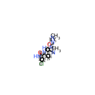 CN1CCN(CC(=O)N(C)c2ccc(N/C(=C3\C(=O)Nc4cc(Cl)ccc43)c3ccccc3)cc2C#N)CC1